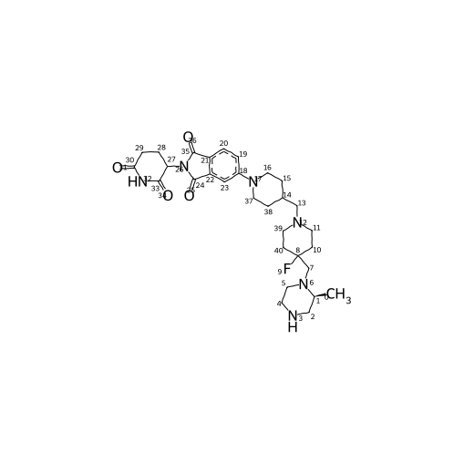 C[C@H]1CNCCN1CC1(F)CCN(CC2CCN(c3ccc4c(c3)C(=O)N(C3CCC(=O)NC3=O)C4=O)CC2)CC1